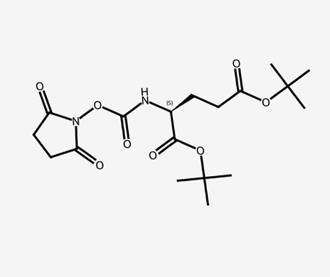 CC(C)(C)OC(=O)CC[C@H](NC(=O)ON1C(=O)CCC1=O)C(=O)OC(C)(C)C